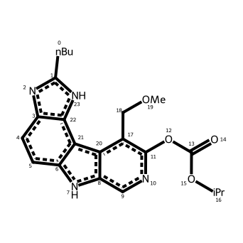 CCCCc1nc2ccc3[nH]c4cnc(OC(=O)OC(C)C)c(COC)c4c3c2[nH]1